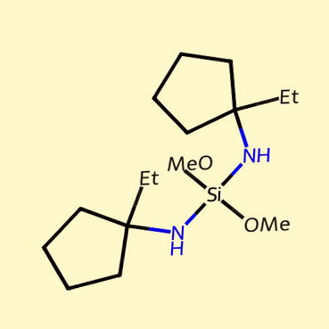 CCC1(N[Si](NC2(CC)CCCC2)(OC)OC)CCCC1